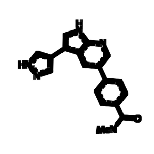 CNC(=O)c1ccc(-c2cnc3[nH]cc(-c4cn[nH]c4)c3c2)cc1